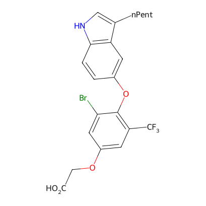 CCCCCc1c[nH]c2ccc(Oc3c(Br)cc(OCC(=O)O)cc3C(F)(F)F)cc12